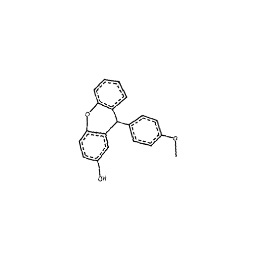 COc1ccc(C2c3ccccc3Oc3ccc(O)cc32)cc1